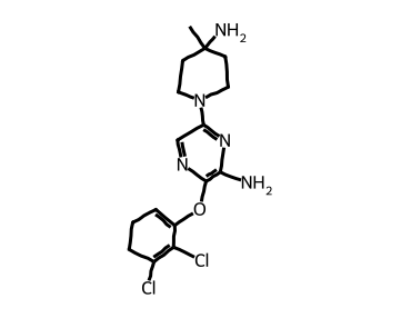 CC1(N)CCN(c2cnc(OC3=CCCC(Cl)=C3Cl)c(N)n2)CC1